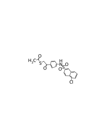 CC(=O)SCC(=O)c1ccc(NS(=O)(=O)c2ccc3c(Cl)cccc3c2)cc1